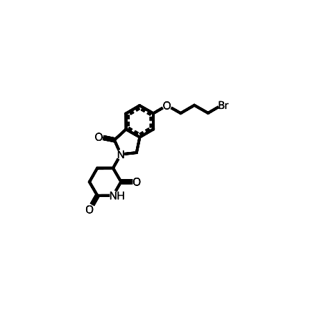 O=C1CCC(N2Cc3cc(OCCCBr)ccc3C2=O)C(=O)N1